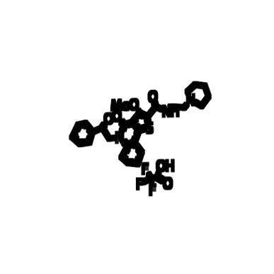 COc1c(C(=O)NCCN2CCCCC2)sc2c1c(=O)n(CC(=O)c1ccccc1)c1ccccc21.O=C(O)C(F)(F)F